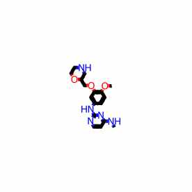 CNc1ccnc(Nc2ccc(OC)c(OCC3CNCCO3)c2)n1